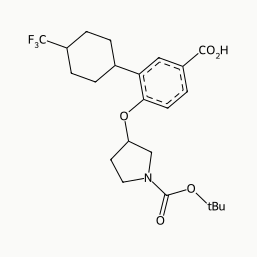 CC(C)(C)OC(=O)N1CCC(Oc2ccc(C(=O)O)cc2C2CCC(C(F)(F)F)CC2)C1